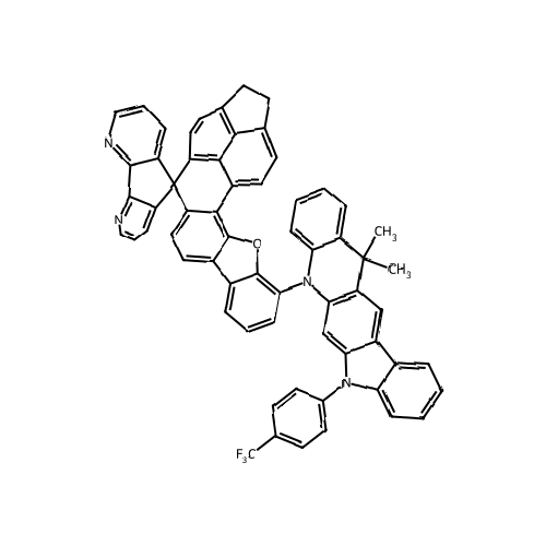 CC1(C)c2ccccc2N(c2cccc3c2oc2c4c(ccc23)C2(c3cccnc3-c3ncccc32)c2ccc3c5c(ccc-4c25)CC3)c2cc3c(cc21)c1ccccc1n3-c1ccc(C(F)(F)F)cc1